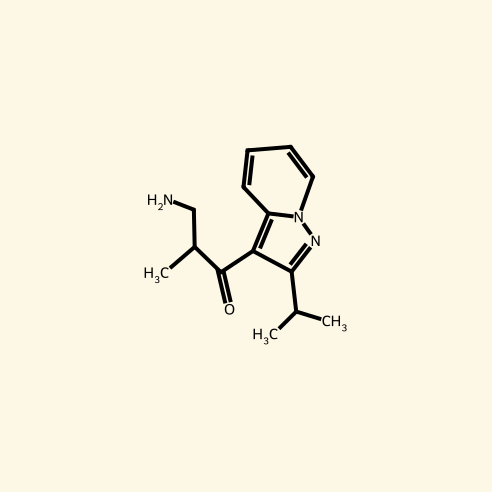 CC(CN)C(=O)c1c(C(C)C)nn2ccccc12